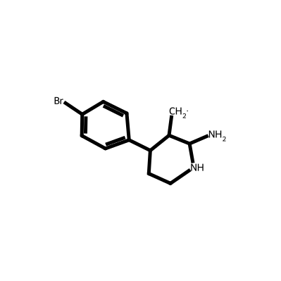 [CH2]C1C(N)NCCC1c1ccc(Br)cc1